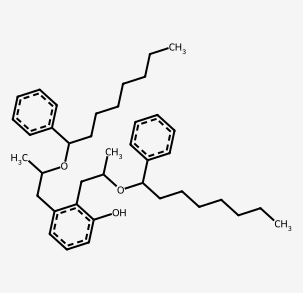 CCCCCCCC(OC(C)Cc1cccc(O)c1CC(C)OC(CCCCCCC)c1ccccc1)c1ccccc1